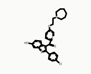 O=C(c1ccc(OCCN2CCCCCC2)cc1)c1c(-c2ccc(Cl)cc2)sc2cc(O)ccc12